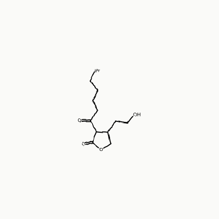 CC(C)CCCCC(=O)C1C(=O)OCC1CCO